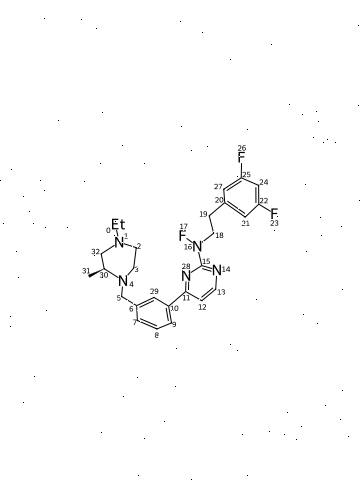 CCN1CCN(Cc2cccc(-c3ccnc(N(F)CCc4cc(F)cc(F)c4)n3)c2)[C@@H](C)C1